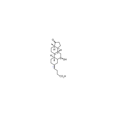 C[C@]12CC/C(=C/CCC(=O)O)CC1[C@H](O)C[C@@H]1[C@@H]2CC[C@]2(C)C(=O)CC[C@@H]12